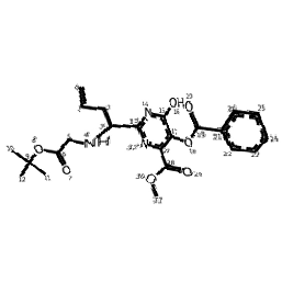 C=CCC(NCC(=O)OC(C)(C)C)c1nc(O)c(OC(=O)c2ccccc2)c(C(=O)OC)n1